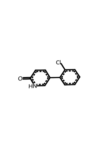 O=c1ccc(-c2ccccc2Cl)c[nH]1